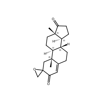 C[C@]12CC3(CO3)C(=O)C=C1CC[C@@H]1[C@@H]2CC[C@]2(C)C(=O)CC[C@@H]12